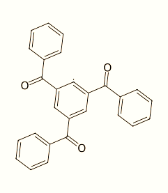 O=C(c1[c]c(C(=O)c2ccccc2)cc(C(=O)c2ccccc2)c1)c1ccccc1